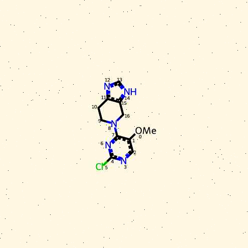 COc1cnc(Cl)nc1N1CCc2nc[nH]c2C1